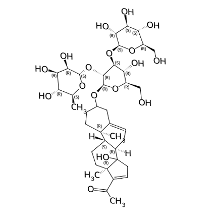 CC(=O)C1=CCC2(O)[C@@H]3CC=C4CC(O[C@@H]5O[C@H](CO)[C@@H](O)[C@H](O[C@@H]6O[C@H](CO)[C@@H](O)[C@H](O)[C@H]6O)[C@H]5O[C@@H]5O[C@@H](C)[C@H](O)[C@@H](O)[C@H]5O)CC[C@]4(C)[C@H]3CC[C@]12C